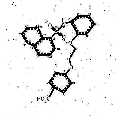 O=C(O)c1ccc(OCCOc2ccccc2NS(=O)(=O)c2cccc3cccnc23)cc1